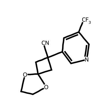 N#CC1(c2cncc(C(F)(F)F)c2)CC2(C1)OCCO2